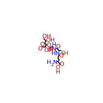 NC(CCC(=O)NC(CS)C(=O)NCC(=O)OC1=C(O)C(=O)O[C@@H]1[C@@H](O)CO)C(=O)O